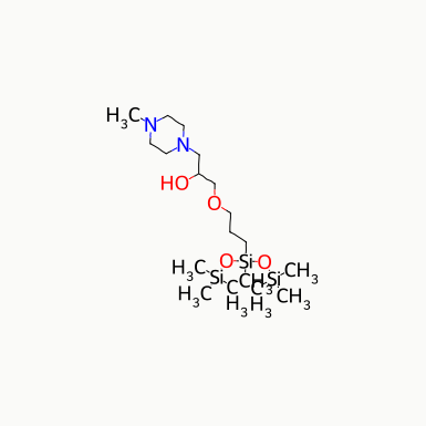 CN1CCN(CC(O)COCCC[Si](C)(O[Si](C)(C)C)O[Si](C)(C)C)CC1